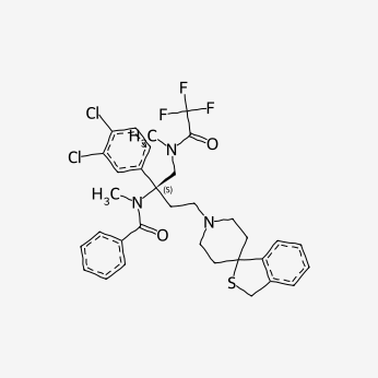 CN(C[C@](CCN1CCC2(CC1)SCc1ccccc12)(c1ccc(Cl)c(Cl)c1)N(C)C(=O)c1ccccc1)C(=O)C(F)(F)F